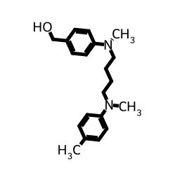 Cc1ccc(N(C)CCCCN(C)c2ccc(CO)cc2)cc1